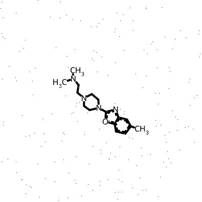 Cc1ccc2oc(N3CCN(CCN(C)C)CC3)nc2c1